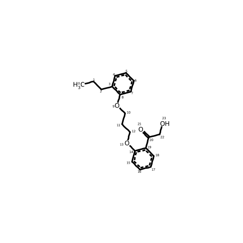 CCCc1ccccc1OCCCOc1ccccc1C(=O)CO